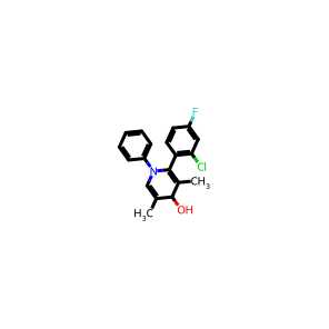 CC1=CN(c2ccccc2)C(c2ccc(F)cc2Cl)=C(C)C1O